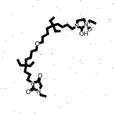 CCN1CC(=O)N(CCCC(CC)(CC)CCCCOCCCCC(CC)(CC)CCCCN2CC[N+]([O-])(CC)C2O)C1=O